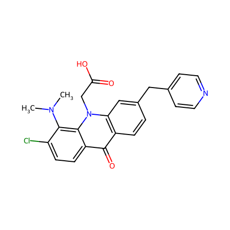 CN(C)c1c(Cl)ccc2c(=O)c3ccc(Cc4ccncc4)cc3n(CC(=O)O)c12